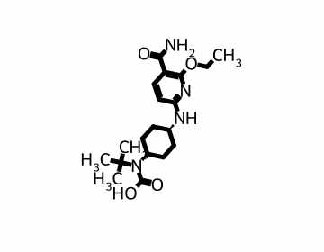 CCOc1nc(N[C@H]2CC[C@H](N(C(=O)O)C(C)(C)C)CC2)ccc1C(N)=O